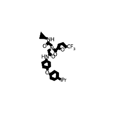 CC(C)c1ccc(Oc2ccc(NC(=O)CN(CC(=O)NC3CC3)C(=O)c3ccc(C(F)(F)F)o3)cc2)cc1